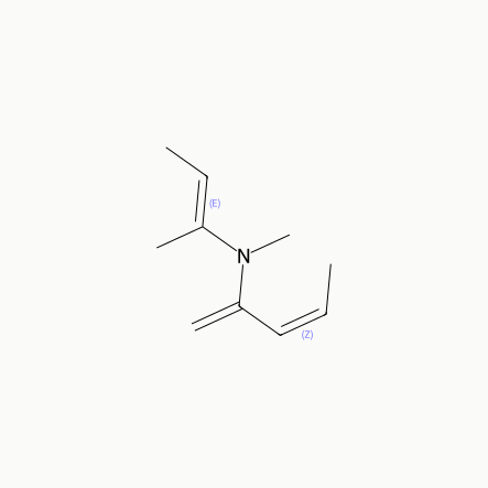 C=C(/C=C\C)N(C)/C(C)=C/C